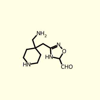 NCC1(CC2=NOC(C=O)N2)CCNCC1